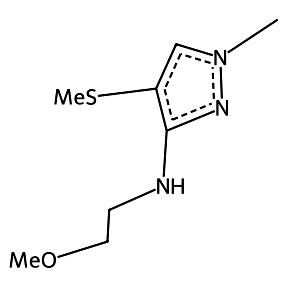 COCCNc1nn(C)cc1SC